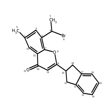 Cc1cc(C(C)Br)c2oc(C3Cc4ccccc4C3)cc(=O)c2c1